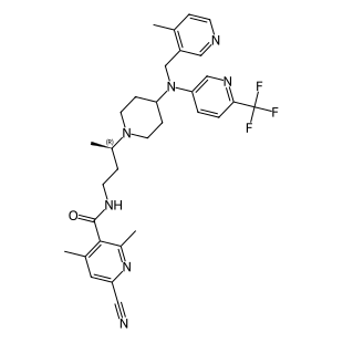 Cc1ccncc1CN(c1ccc(C(F)(F)F)nc1)C1CCN([C@H](C)CCNC(=O)c2c(C)cc(C#N)nc2C)CC1